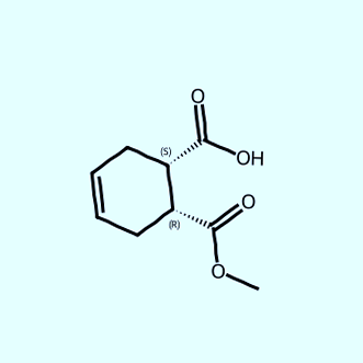 COC(=O)[C@@H]1CC=CC[C@@H]1C(=O)O